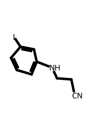 N#CCCNc1cccc(I)c1